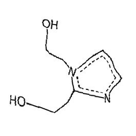 OCc1nccn1CO